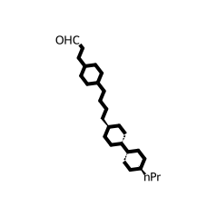 CCC[C@H]1CC[C@H]([C@H]2CC[C@H](CCCCC3CCC(CCC=O)CC3)CC2)CC1